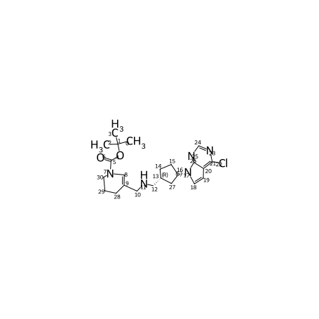 CC(C)(C)OC(=O)N1C=C(CNC[C@@H]2CC[C@H](n3ccc4c(Cl)ncnc43)C2)CCC1